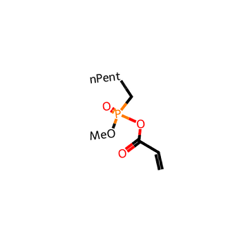 C=CC(=O)OP(=O)(CCCCCC)OC